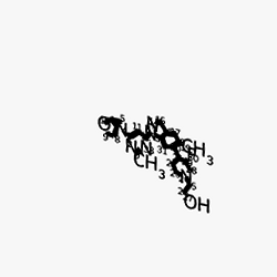 Cc1nc(N2CC3CC2CO3)cc(-n2ncc3cc(C)c(C4CCN(CCO)CC4F)cc32)n1